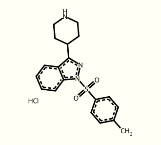 Cc1ccc(S(=O)(=O)n2nc(C3CCNCC3)c3ccccc32)cc1.Cl